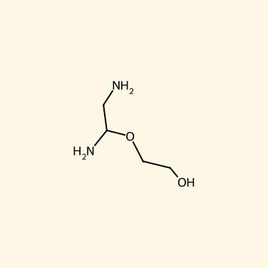 NCC(N)OCCO